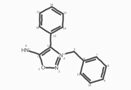 [NH-]c1on[n+](Cc2ccccc2)c1-c1ccccc1